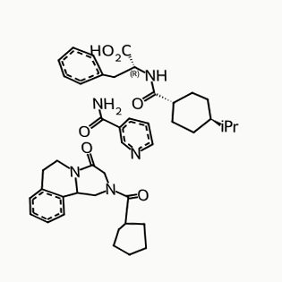 CC(C)[C@H]1CC[C@H](C(=O)N[C@H](Cc2ccccc2)C(=O)O)CC1.NC(=O)c1cccnc1.O=C(C1CCCCC1)N1CC(=O)N2CCc3ccccc3C2C1